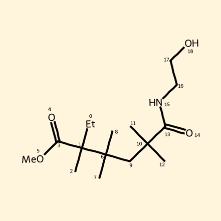 CCC(C)(C(=O)OC)C(C)(C)CC(C)(C)C(=O)NCCO